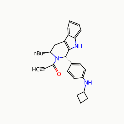 C#CC(=O)N1[C@@H](CCCC)Cc2c([nH]c3ccccc23)[C@@H]1c1ccc(NC2CCC2)cc1